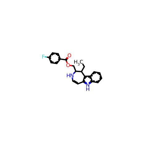 CCC1c2c([nH]c3ccccc23)C=CNC1COC(=O)c1ccc(F)cc1